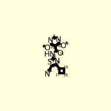 COc1ncnc(OC)c1C(=O)Nc1nc(C2CCC2)c(C#N)s1